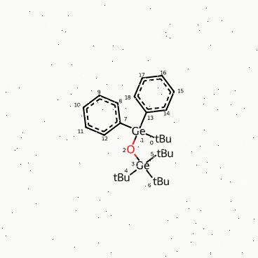 C[C](C)(C)[Ge]([O][Ge]([C](C)(C)C)([C](C)(C)C)[C](C)(C)C)([c]1ccccc1)[c]1ccccc1